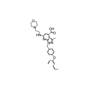 C=C/C(=C\C=C/C)Oc1ccc(Cn2nc(C)c3c(C(=O)O)cc(NCCN4CCOCC4)nc32)cc1